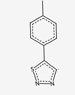 Cc1ccc(-c2[c]nns2)cc1